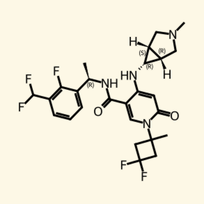 C[C@@H](NC(=O)c1cn(C2(C)CC(F)(F)C2)c(=O)cc1N[C@@H]1[C@@H]2CN(C)C[C@@H]21)c1cccc(C(F)F)c1F